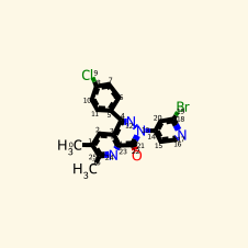 Cc1cc2c(-c3ccc(Cl)cc3)nn(-c3ccnc(Br)c3)c(=O)c2nc1C